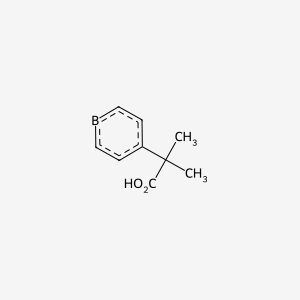 CC(C)(C(=O)O)c1ccbcc1